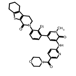 CCc1c(-c2cc(Nc3ccc(C(=O)N4CCOCC4)cn3)c(=O)n(C)c2)cccc1N1CCc2c(sc3c2CCCC3)C1=O